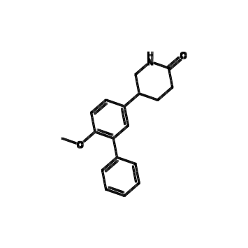 COc1ccc(C2CCC(=O)NC2)cc1-c1ccccc1